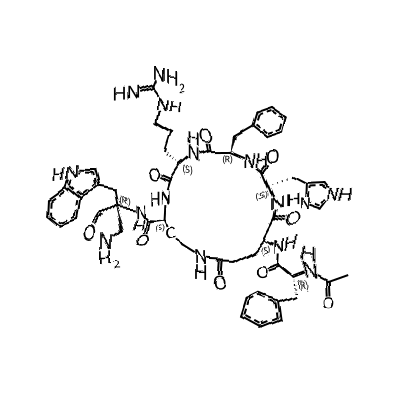 CC(=O)N[C@H](Cc1ccccc1)C(=O)N[C@H]1CCC(=O)NCC[C@@H](C(=O)N[C@@](C=O)(CN)Cc2c[nH]c3ccccc23)NC(=O)[C@H](CCCNC(=N)N)NC(=O)[C@@H](Cc2ccccc2)NC(=O)[C@H](Cc2c[nH]cn2)NC1=O